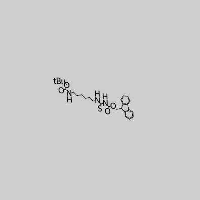 CC(C)(C)OC(=O)NCCCCCCNC(=S)NC(=O)OCC1c2ccccc2-c2ccccc21